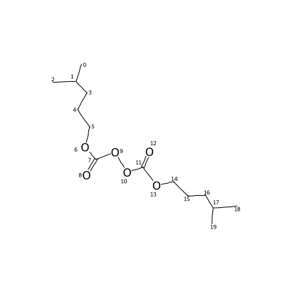 CC(C)CCCOC(=O)OOC(=O)OCCCC(C)C